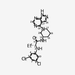 CC[C@@H](Nc1cc(Cl)cc(Cl)c1)C(=O)N[C@@H]1CCCN(c2ncnc3[nH]ncc23)C1